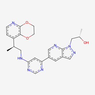 C[C@H](O)Cn1ncc2cc(-c3cc(NC[C@@H](C)c4ccnc5c4OCCO5)ncn3)cnc21